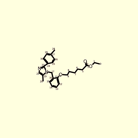 CCOC(=O)CCCCCOc1ccccc1Cn1c(C)cnc1-c1ccc(C)cc1